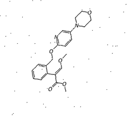 CO/C=C(/C(=O)OC)c1ccccc1COc1ccc(N2CCOCC2)cn1